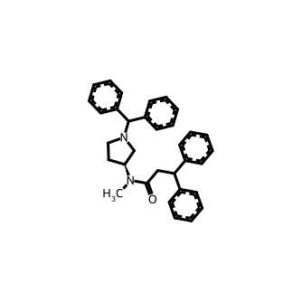 CN(C(=O)CC(c1ccccc1)c1ccccc1)[C@H]1CCN(C(c2ccccc2)c2ccccc2)C1